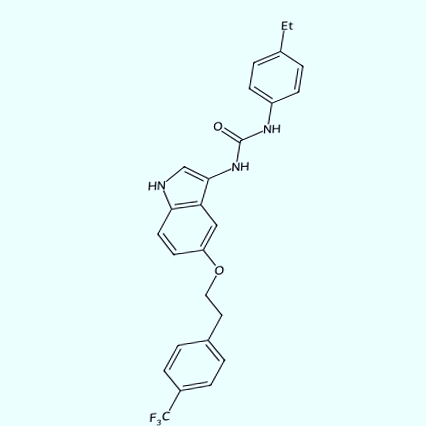 CCc1ccc(NC(=O)Nc2c[nH]c3ccc(OCCc4ccc(C(F)(F)F)cc4)cc23)cc1